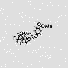 COC(=O)c1ccc(OCCOCC(F)(OC(F)(F)C(F)(OC)C(F)(F)F)C(F)(F)F)cc1